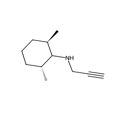 C#CCNC1[C@H](C)CCC[C@H]1C